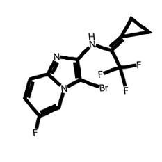 Fc1ccc2nc(NC(=C3CC3)C(F)(F)F)c(Br)n2c1